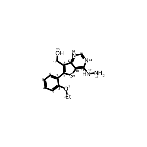 CCOc1ccccc1-c1sc2c(NN)ncnc2c1CO